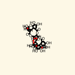 O=C1O[C@H]2[C@@H](OC(=O)c3cc(O)c(O)c(O)c3)[C@H](OC(=O)c3cc(O)c(O)c4c3C3C1=CC(=O)C(O)(O4)C3(O)O)[C@@H]1OC(=O)c3cc(O)c(O)c(O)c3-c3c(cc(O)c(O)c3O)C(O)OC[C@H]2O1